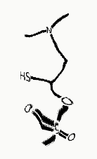 CN(C)CC(S)OS(C)(=O)=O